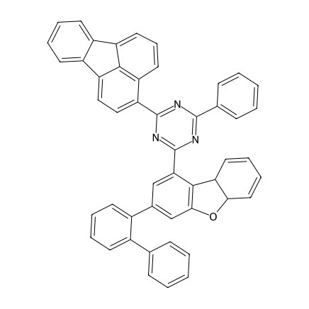 C1=CC2Oc3cc(-c4ccccc4-c4ccccc4)cc(-c4nc(-c5ccccc5)nc(-c5ccc6c7c(cccc57)-c5ccccc5-6)n4)c3C2C=C1